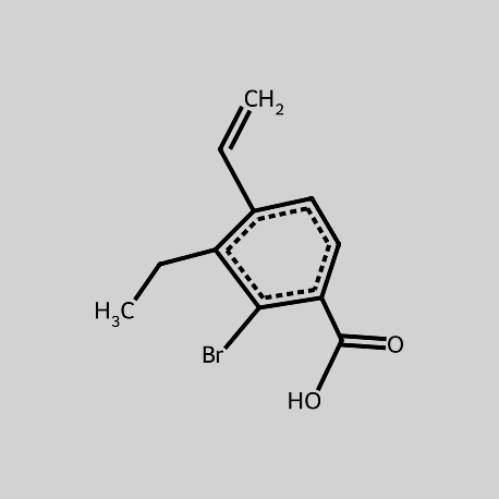 C=Cc1ccc(C(=O)O)c(Br)c1CC